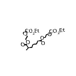 CCOC(=O)OCCOC(=O)CCCCC(C)C(=O)OCCOC(=O)OCC